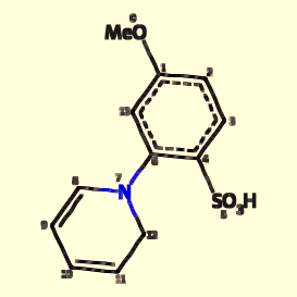 COc1ccc(S(=O)(=O)O)c(N2C=CC=CC2)c1